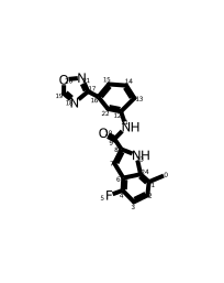 Cc1ccc(F)c2cc(C(=O)Nc3cccc(-c4ncon4)c3)[nH]c12